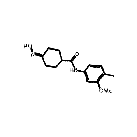 COc1cc(NC(=O)C2CCC(=NO)CC2)ccc1C